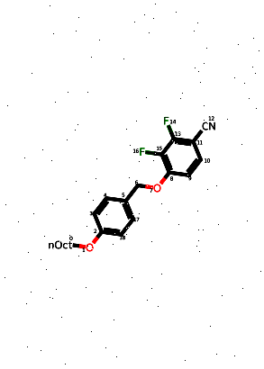 CCCCCCCCOc1ccc(COc2ccc(C#N)c(F)c2F)cc1